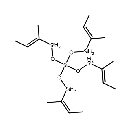 CC=C(C)[SiH2]O[Si](O[SiH2]C(C)=CC)(O[SiH2]C(C)=CC)O[SiH2]C(C)=CC